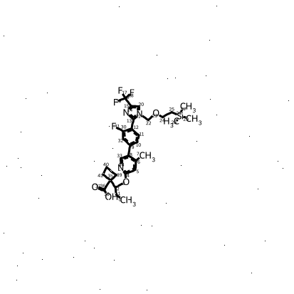 CCC(Oc1cc(C)c(-c2ccc(-c3nc(C(F)(F)F)cn3COCC[Si](C)(C)C)c(F)c2)cn1)C1(C(=O)O)CCC1